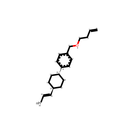 C=CCCOCc1ccc([C@H]2CC[C@H](/C=C/CCC)CC2)cc1